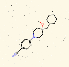 COC1(CC2CCCCC2)CCN(c2ccc(C#N)cc2)CC1